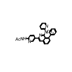 CC(=O)Nc1ccc(-c2cc3cccc(-c4ccccc4)c3c(N(C)c3ccccn3)n2)cn1